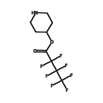 O=C(OC1CCNCC1)C(F)(F)C(F)(F)C(F)(F)F